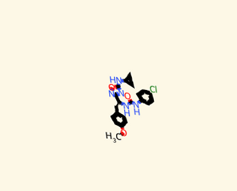 COc1ccc(C[C@H](NC(=O)Nc2ccc(Cl)cc2)c2noc(NC3CC3)n2)cc1